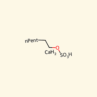 CCCCCCCOS(=O)(=O)O.[CaH2]